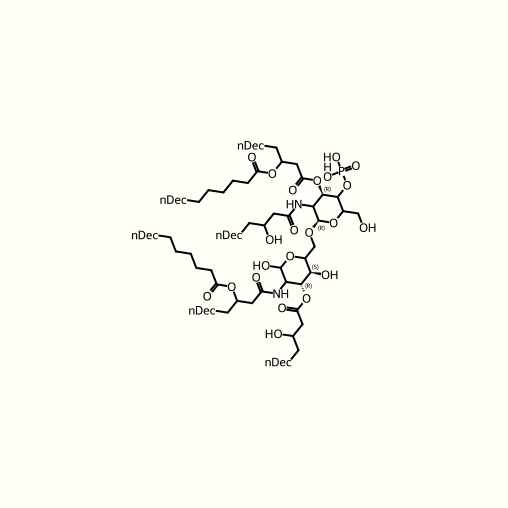 CCCCCCCCCCCCCCCC(=O)OC(CCCCCCCCCCC)CC(=O)NC1C(O)OC(CO[C@@H]2OC(CO)C(OP(=O)(O)O)[C@H](OC(=O)CC(CCCCCCCCCCC)OC(=O)CCCCCCCCCCCCCCC)C2NC(=O)CC(O)CCCCCCCCCCC)[C@@H](O)[C@@H]1OC(=O)CC(O)CCCCCCCCCCC